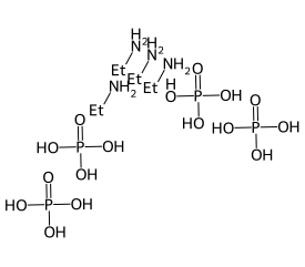 CCN.CCN.CCN.CCN.O=P(O)(O)O.O=P(O)(O)O.O=P(O)(O)O.O=P(O)(O)O